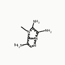 Cn1c(N)c(N)n2ncc(N)c12